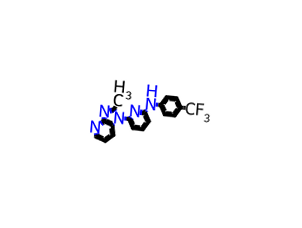 Cc1nc2ncccc2n1-c1cccc(Nc2ccc(C(F)(F)F)cc2)n1